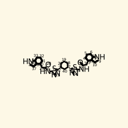 O=C(Cc1cccc2[nH]ccc12)Nc1nnc([C@H]2CCC[C@H](c3nnc(NC(=O)Cc4cccc5[nH]ccc45)s3)C2)s1